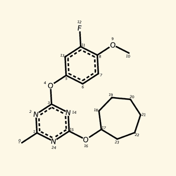 [CH2]c1nc(Oc2ccc(OC)c(F)c2)nc(OC2CCCCCC2)n1